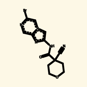 N#CC1(C(=O)Nc2cn3cc(Br)ncc3n2)CCOCC1